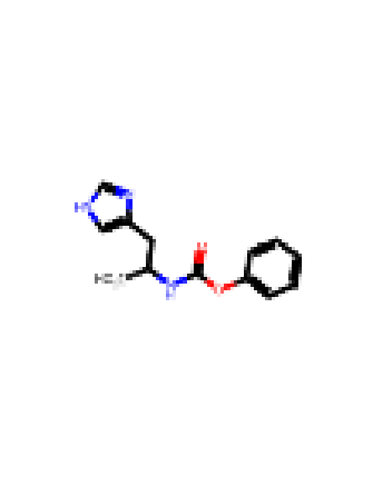 O=C(NC(Cc1c[nH]cn1)C(=O)O)Oc1ccccc1